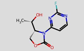 C[C@H](O)[C@H]1COC(=O)N1c1ccnc(F)n1